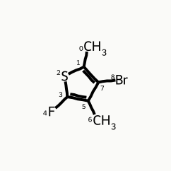 Cc1sc(F)c(C)c1Br